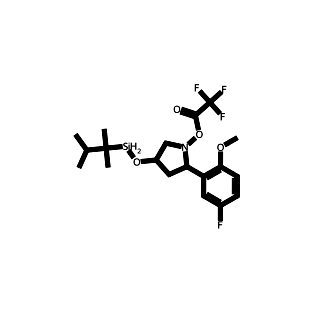 COc1ccc(F)cc1C1CC(O[SiH2]C(C)(C)C(C)C)CN1OC(=O)C(F)(F)F